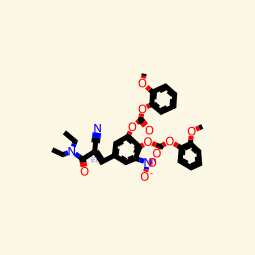 CCN(CC)C(=O)/C(C#N)=C/c1cc(OC(=O)Oc2ccccc2OC)c(OC(=O)Oc2ccccc2OC)c([N+](=O)[O-])c1